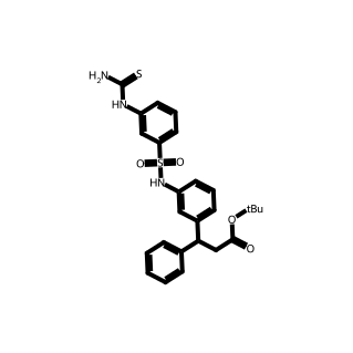 CC(C)(C)OC(=O)CC(c1ccccc1)c1cccc(NS(=O)(=O)c2cccc(NC(N)=S)c2)c1